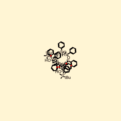 CCC1(C)[C@@](C)(CC)[Si](C)(C)O[Si]2(c3ccccc3)O[SiH](c3ccccc3)O[SiH](c3ccccc3)O[Si](c3ccccc3)(O[Si](O[Si](O)(O[Si](C)(C)C(C)(C)C)c3ccccc3)(c3ccccc3)O[Si](O[Si](O)(O[Si](C)(C)C(C)(C)C)c3ccccc3)(c3ccccc3)O2)O[Si]1(C)C